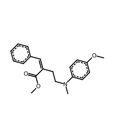 COC(=O)C(=Cc1ccccc1)CCN(C)c1ccc(OC)cc1